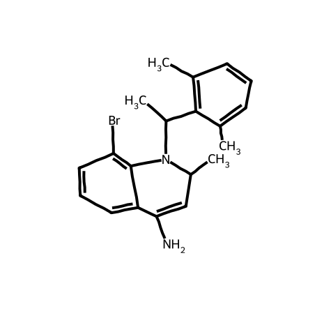 Cc1cccc(C)c1C(C)N1c2c(Br)cccc2C(N)=CC1C